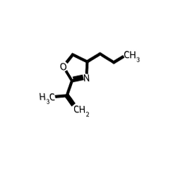 C=C(C)C1=NC(CCC)CO1